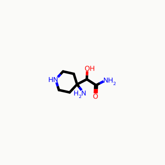 NC(=O)C(O)C1(N)CCNCC1